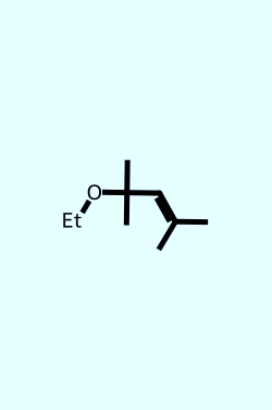 CCOC(C)(C)C=C(C)C